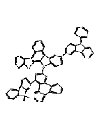 CC1(C)c2ccccc2-c2ccc(-c3nc(-n4c5ccc(-c6ccc7c(c6)c6ccccc6n7-c6ccccc6)cc5c5c6ccccc6c6c7ccccc7oc6c54)nc4c5ccccc5c5ccccc5c34)cc21